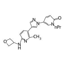 CCCn1cc(-n2cc(-c3ccc(NC4COC4)nc3C)cn2)ccc1=O